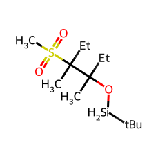 CCC(C)(O[SiH2]C(C)(C)C)C(C)(CC)S(C)(=O)=O